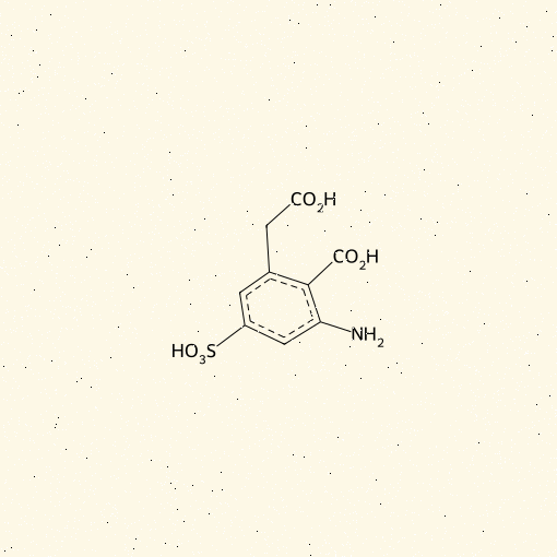 Nc1cc(S(=O)(=O)O)cc(CC(=O)O)c1C(=O)O